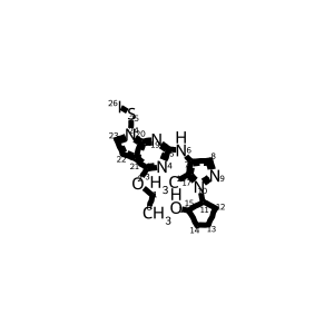 CCOc1nc(Nc2cnn(C3CCCC3O)c2C)nc2c1ccn2SI